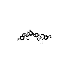 COc1ccc2c(c1)CCN(C1CCN(c3cc(C)nc(C(=O)N4CCc5cc(F)ccc54)c3)CC1)C(=O)N2